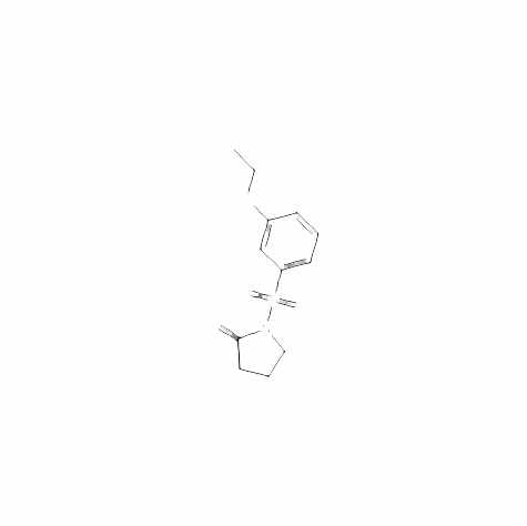 CCOc1cccc(S(=O)(=O)N2CCCC2=O)c1